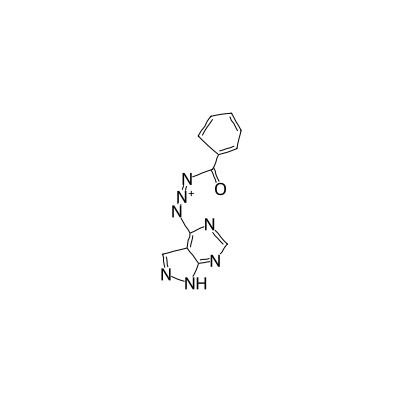 O=C(N=[N+]=Nc1ncnc2[nH]ncc12)c1ccccc1